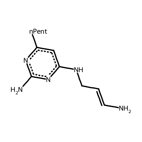 CCCCCc1cc(NCC=CN)nc(N)n1